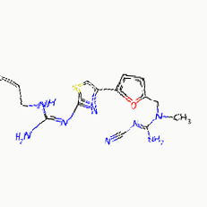 C=CCNC(N)=Nc1nc(-c2ccc(CN(C)C(N)=NC#N)o2)cs1